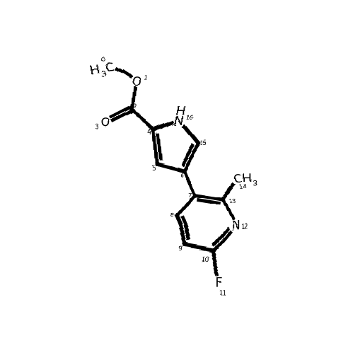 COC(=O)c1cc(-c2ccc(F)nc2C)c[nH]1